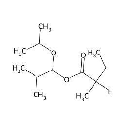 CCC(C)(F)C(=O)OC(OC(C)C)C(C)C